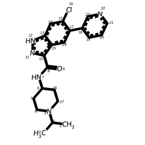 CC(C)N1CCC(NC(=O)c2n[nH]c3cc(Cl)c(-c4cccnc4)cc23)CC1